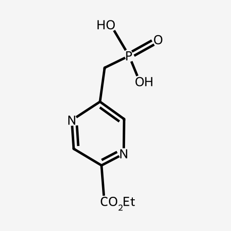 CCOC(=O)c1cnc(CP(=O)(O)O)cn1